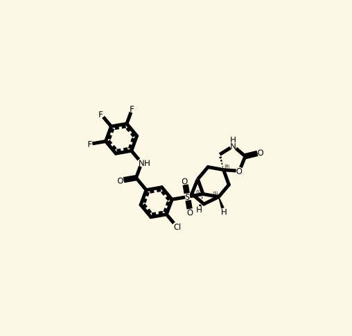 O=C1NC[C@]2(CC3CC[C@@H](C2)[C@H]3S(=O)(=O)c2cc(C(=O)Nc3cc(F)c(F)c(F)c3)ccc2Cl)O1